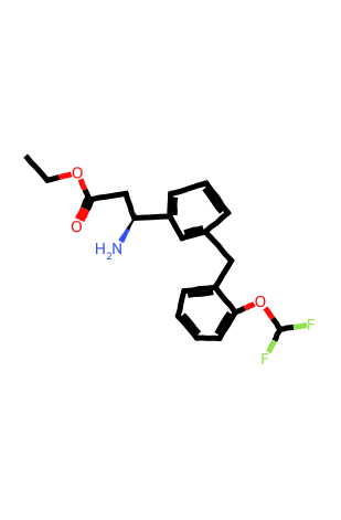 CCOC(=O)C[C@H](N)c1cccc(Cc2ccccc2OC(F)F)c1